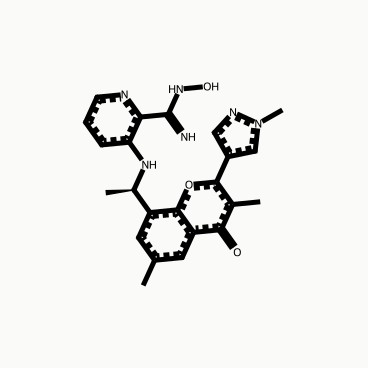 Cc1cc([C@@H](C)Nc2cccnc2C(=N)NO)c2oc(-c3cnn(C)c3)c(C)c(=O)c2c1